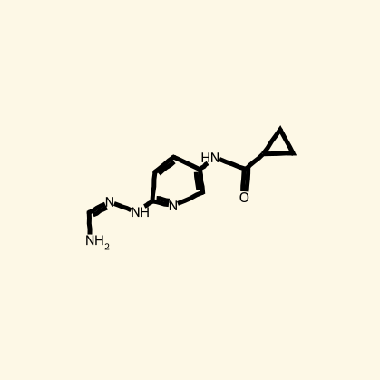 N/C=N\Nc1ccc(NC(=O)C2CC2)cn1